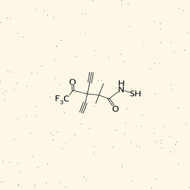 C#CC(C#C)(C(=O)C(F)(F)F)C(C)(C)C(=O)NS